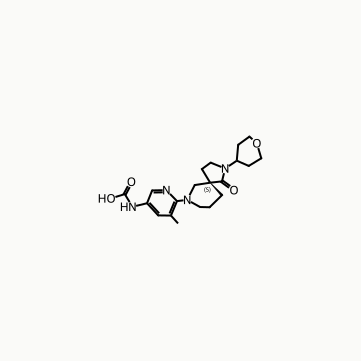 Cc1cc(NC(=O)O)cnc1N1CCC[C@]2(CCN(C3CCOCC3)C2=O)C1